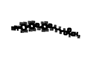 C=CC(=O)OCCCCCCOc1ccc(COc2ccc(C3CCC(CCC)CC3)cc2)cc1